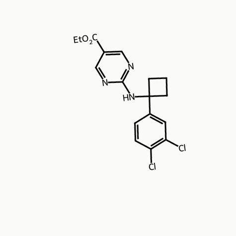 CCOC(=O)c1cnc(NC2(c3ccc(Cl)c(Cl)c3)CCC2)nc1